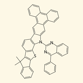 CC1(C)c2ccccc2-c2sc3c(ccc4c5cc6c7ccccc7c7ccccc7c6cc5n(-c5nc(-c6ccccc6)c6ccccc6n5)c43)c21